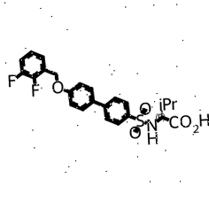 CC(C)[C@@H](NS(=O)(=O)c1ccc(-c2ccc(OCc3cccc(F)c3F)cc2)cc1)C(=O)O